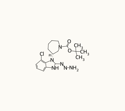 CC(C)(C)OC(=O)N1CCCC[C@@H](N2c3c(Cl)cccc3NC2N=NN)C1